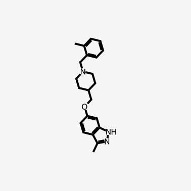 Cc1ccccc1CN1CCC(COc2ccc3c(C)n[nH]c3c2)CC1